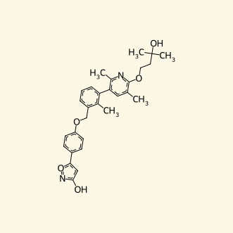 Cc1cc(-c2cccc(COc3ccc(-c4cc(O)no4)cc3)c2C)c(C)nc1OCCC(C)(C)O